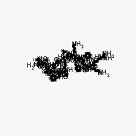 CC(C)C[C@H](NC(=O)[C@H](CCCCN)NC(=O)[C@H](Cc1ccccc1)NC(=O)[C@H](Cc1ccccc1)NC(=O)[C@H](CO)NC(=O)[C@H](CCCCN)NC(=O)[C@H](N)CCCNC(=N)N)C(=O)N[C@@H](CCC(=O)O)C(=O)NCC(=O)N[C@@H](CO)C(=O)N[C@@H](Cc1ccccc1)C(=O)N[C@@H](CC(N)=O)C(=O)N[C@H](C(=O)N[C@@H](CO)C(=O)N[C@H](C(N)=O)C(C)C)C(C)C